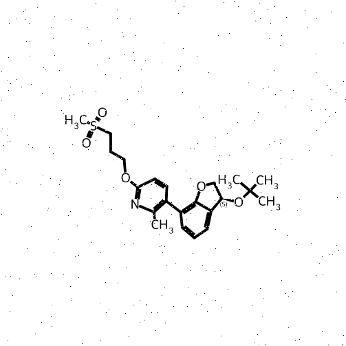 Cc1nc(OCCCS(C)(=O)=O)ccc1-c1cccc2c1OC[C@H]2OC(C)(C)C